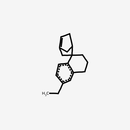 CCc1ccc2c(c1)CCCC21CC2=CCC1C2